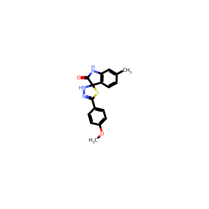 COc1ccc(C2=NNC3(S2)C(=O)Nc2cc(C)ccc23)cc1